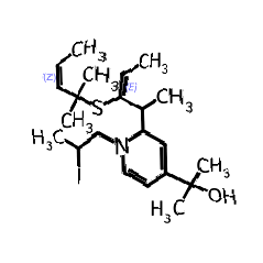 C/C=C\C(C)(C)S/C(=C/C)C(C)C1C=C(C(C)(C)O)C=CN1CC(C)I